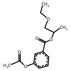 CCOCC(C)OC(=O)c1cccc(OC(C)=O)c1